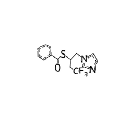 O=C(SC(Cn1ccnc1)CC(F)(F)F)c1ccccc1